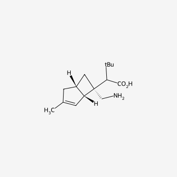 CC1=C[C@@H]2[C@H](C1)C[C@@]2(CN)C(C(=O)O)C(C)(C)C